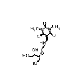 CN1C(=O)C(=CNCCOC(CO)[C@@H](O)CO)C(=O)N(C)C1=O